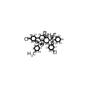 Cc1ccc(S(=O)(=O)C2[C@H]3C[C@@H](c4ccc(Cl)cc4)C(S(=O)(=O)c4ccccc4C)C[C@H]3C(=O)C[C@H]2c2ccc(Cl)cc2)cc1